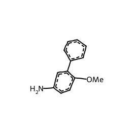 COc1ccc(N)cc1-c1ccccc1